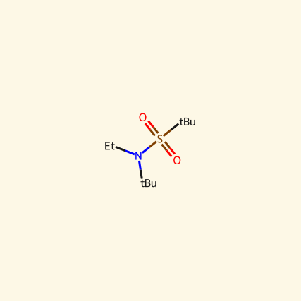 CCN(C(C)(C)C)S(=O)(=O)C(C)(C)C